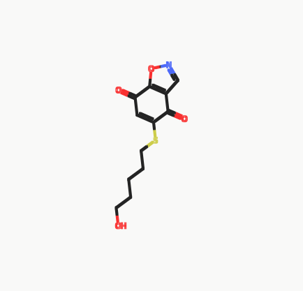 O=C1C(SCCCCCO)=CC(=O)c2oncc21